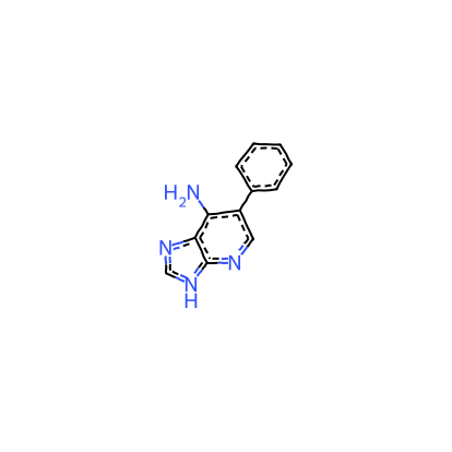 Nc1c(-c2ccccc2)cnc2[nH]cnc12